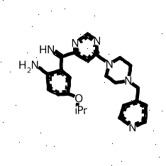 CC(C)Oc1ccc(N)c(C(=N)c2cc(N3CCN(Cc4ccncc4)CC3)ncn2)c1